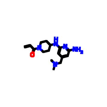 C=CC(=O)N1CCC(Nc2cc(CN(C)C)cc(N)n2)CC1